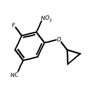 N#Cc1cc(F)c([N+](=O)[O-])c(OC2CC2)c1